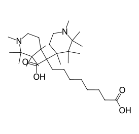 CN1CCC(C)(C(CCCCCCCC(=O)O)(C(=O)O)C2(C)CCN(C)C(C)(C)C2(C)C)C(C)(C)C1(C)C